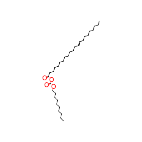 CCCCCCCCC=CCCCCCCCCCCCC(=O)OC(=O)OCCCCCCCCCC